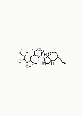 C=CC[C@@H]1CCO[C@@H]2[C@H](CN[C@@H]2C(=O)N[C@H]([C@H](C)Cl)[C@H]2OC(SC)[C@H](O)[C@H](O)C2O)C1